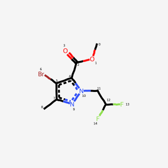 COC(=O)c1c(Br)c(C)nn1CC(F)F